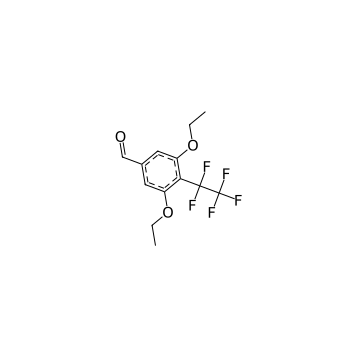 CCOc1cc(C=O)cc(OCC)c1C(F)(F)C(F)(F)F